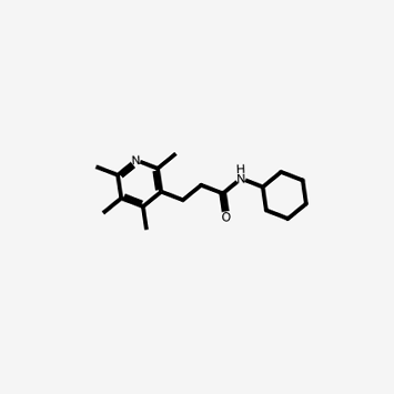 Cc1nc(C)c(CCC(=O)NC2CCCCC2)c(C)c1C